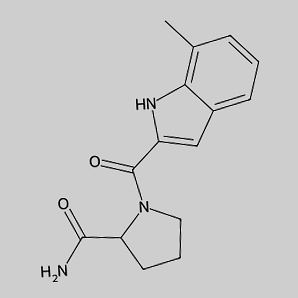 Cc1cccc2cc(C(=O)N3CCCC3C(N)=O)[nH]c12